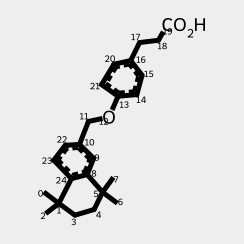 CC1(C)CCC(C)(C)c2cc(COc3ccc(CCC(=O)O)cc3)ccc21